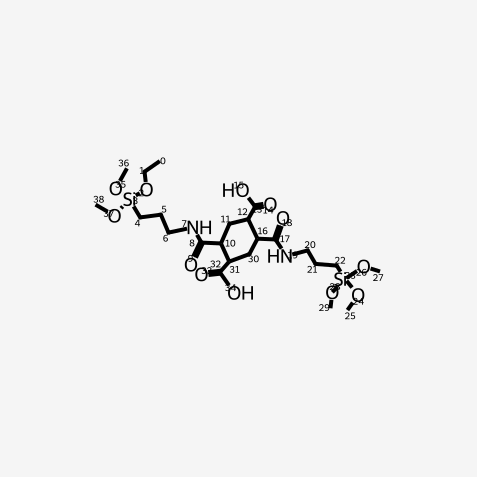 CCO[Si](CCCNC(=O)C1CC(C(=O)O)C(C(=O)NCCC[Si](OC)(OC)OC)CC1C(=O)O)(OC)OC